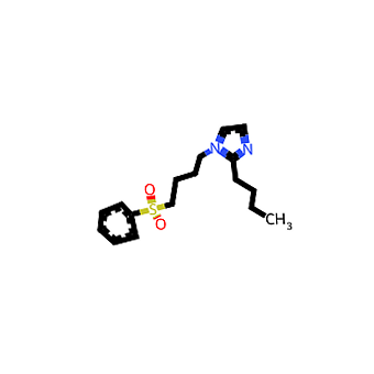 CCCCc1nccn1CCCCS(=O)(=O)c1ccccc1